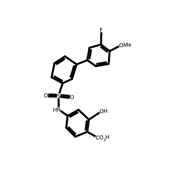 COc1ccc(-c2cccc(S(=O)(=O)Nc3ccc(C(=O)O)c(O)c3)c2)cc1F